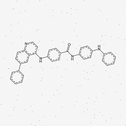 O=C(Nc1ccc(Nc2ccccc2)cc1)c1ccc(Nc2ccnc3ccc(-c4ccccc4)cc23)cc1